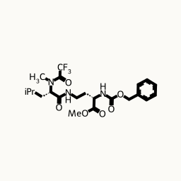 COC(=O)[C@H](CCNC(=O)[C@H](CC(C)C)N(C)C(=O)C(F)(F)F)NC(=O)OCc1ccccc1